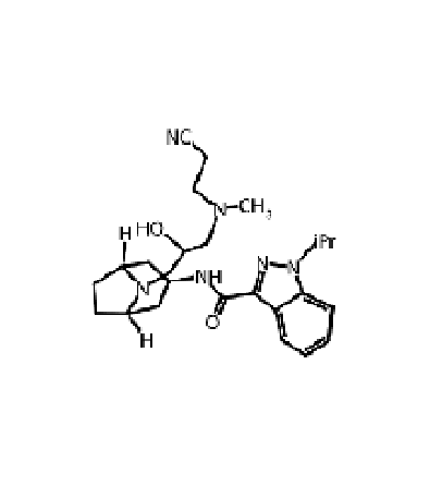 CC(C)n1nc(C(=O)N[C@@H]2C[C@H]3CC[C@@H](C2)N3CC(O)CN(C)CCC#N)c2ccccc21